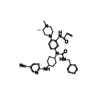 C=CC(=O)Nc1cc(N(C(=O)NCc2ccccc2)C2CCC(Nc3ccc(C#N)cn3)CC2)ccc1N1CCN(C)[C@@H](C)C1